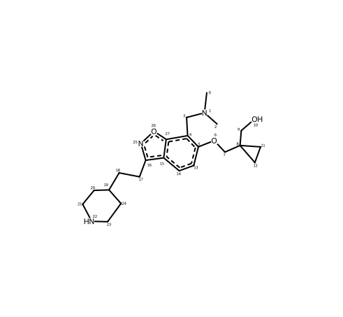 CN(C)Cc1c(OCC2(CO)CC2)ccc2c(CCC3CCNCC3)noc12